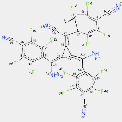 CC1(F)C(F)=C(C#N)C(F)=C(F)C1/C(C#N)=C1/C(=C(N)c2c(F)c(F)c(C#N)c(F)c2F)/C1=C(/N)c1c(F)c(F)c(C#N)c(F)c1F